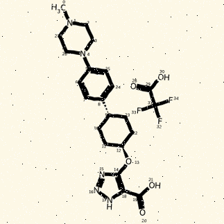 CN1CCN(c2ccc([C@H]3CC[C@H](Oc4nn[nH]c4C(=O)O)CC3)cc2)CC1.O=C(O)C(F)(F)F